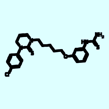 NC(=S)Nc1cccc(OCCCCCN2C=CCN(c3ccc(Cl)cc3)C2=S)c1